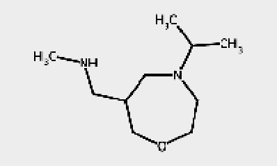 CNCC1COCCN(C(C)C)C1